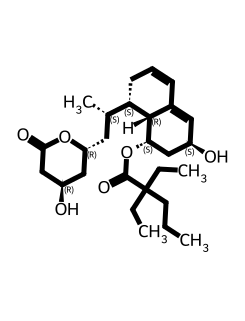 CCCC(CC)(CC)C(=O)O[C@H]1C[C@H](O)C=C2C=CC[C@@H]([C@@H](C)C[C@@H]3C[C@@H](O)CC(=O)O3)[C@H]21